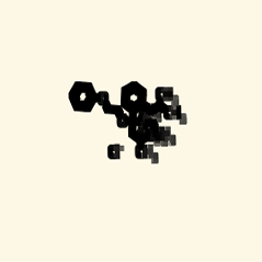 CC[N+](C)(C)C(CC(C)C)(OCCOc1ccccc1)c1ccccc1CC(C)C.[Cl-]